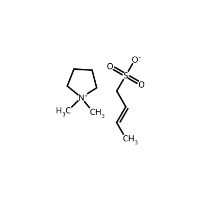 CC=CCS(=O)(=O)[O-].C[N+]1(C)CCCC1